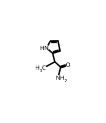 CC(C(N)=O)c1ccc[nH]1